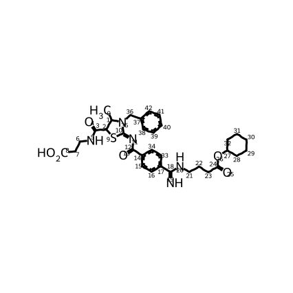 CC1C(C(=O)NCCC(=O)O)SC(=NC(=O)c2ccc(C(=N)NCCCC(=O)OC3CCCCC3)cc2)N1Cc1ccccc1